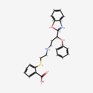 O=C(O)c1ccccc1SCCNCCC(Oc1ccccc1)c1nc2ccccc2o1